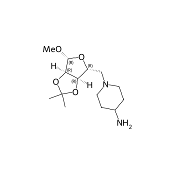 CO[C@@H]1O[C@H](CN2CCC(N)CC2)[C@H]2OC(C)(C)O[C@@H]12